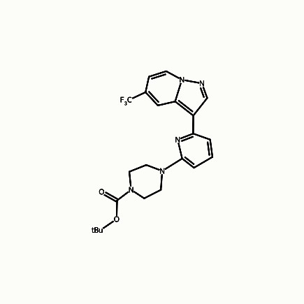 CC(C)(C)OC(=O)N1CCN(c2cccc(-c3cnn4ccc(C(F)(F)F)cc34)n2)CC1